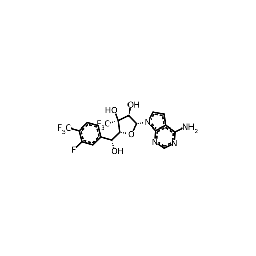 Nc1ncnc2c1ccn2[C@@H]1O[C@H]([C@H](O)c2ccc(C(F)(F)F)c(F)c2)[C@](O)(C(F)(F)F)[C@H]1O